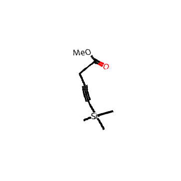 COC(=O)CC#C[Si](C)(C)C